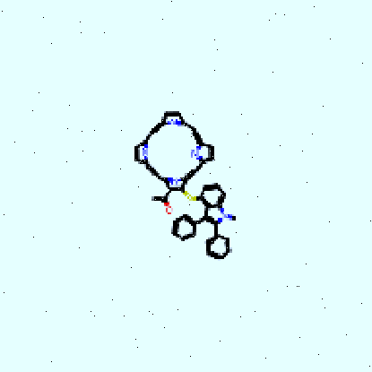 CC(=O)C1=C(Sc2cccc3c2c(-c2ccccc2)c(-c2ccccc2)n3C)C2=CC3=NC(=CC4=NC(=CC5=NC(=CC1=N2)C=C5)C=C4)C=C3